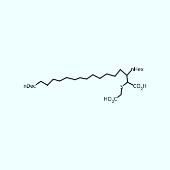 CCCCCCCCCCCCCCCCCCCCCCCC(CCCCCC)C(SCC(=O)O)C(=O)O